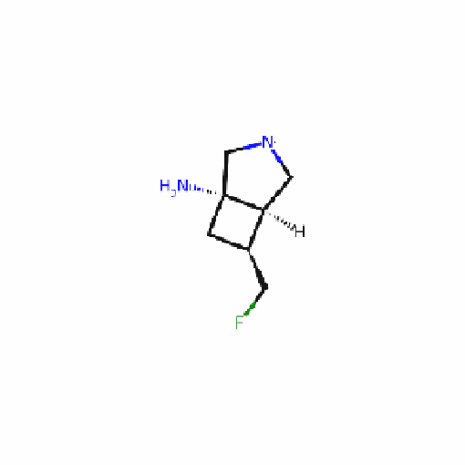 N[C@]12C[N]C[C@H]1[C@@H](CF)C2